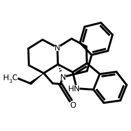 CC[C@@]12CCCN3CCc4c([nH]c5ccccc45)[C@]31N(Cc1ccccc1)C(=O)C2